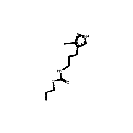 CCCOC(=O)NCCCc1c[nH]nc1C